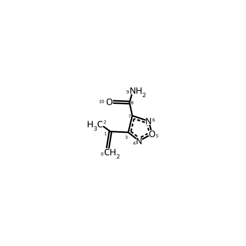 C=C(C)c1nonc1C(N)=O